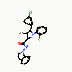 CCC1C(C(=O)NN2CCc3ccccc32)=NN(c2ccccc2Cl)C1c1ccc(Cl)cc1